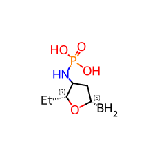 B[C@H]1CC(NP(=O)(O)O)[C@@H](CC)O1